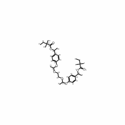 CCC(C)(C)C(=O)OC(C)c1ccc(OC(C)OCCOC(C)Oc2ccc(C(C)OC(=O)C(C)(C)CC)cc2)cc1